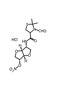 CC1(C)SCC(C(=O)N[C@H]2CO[C@H]3[C@@H]2OC[C@@H]3O[N+](=O)[O-])N1C=O.Cl